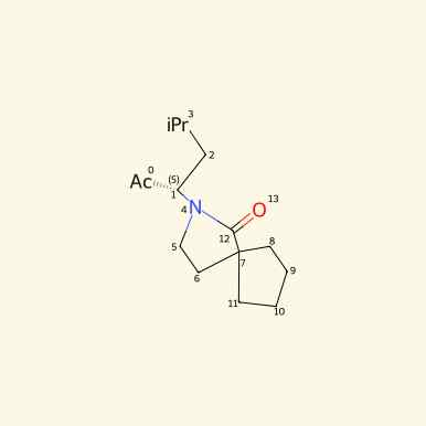 CC(=O)[C@H](CC(C)C)N1CCC2(CCCC2)C1=O